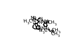 COc1cc(N(C)CCN(C)C)c(N)cc1Nc1ncc(-c2nc(C)no2)c(-c2cn3c4c(cccc24)CCC3)n1